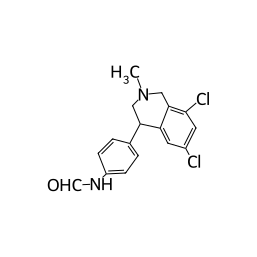 CN1Cc2c(Cl)cc(Cl)cc2C(c2ccc(NC=O)cc2)C1